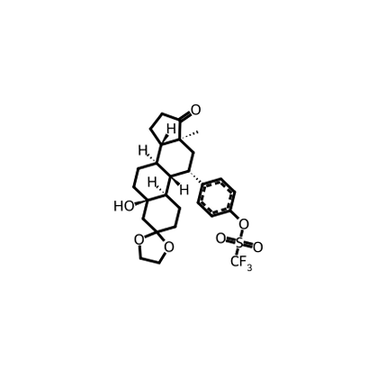 C[C@]12C[C@H](c3ccc(OS(=O)(=O)C(F)(F)F)cc3)[C@H]3[C@@H](CC[C@@]4(O)CC5(CC[C@H]34)OCCO5)[C@@H]1CCC2=O